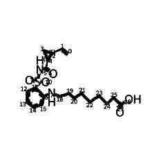 C=C[C@@H]1C[C@@H]1C(=O)NS(=O)(=O)c1ccccc1NCCCCCCCCC(=O)O